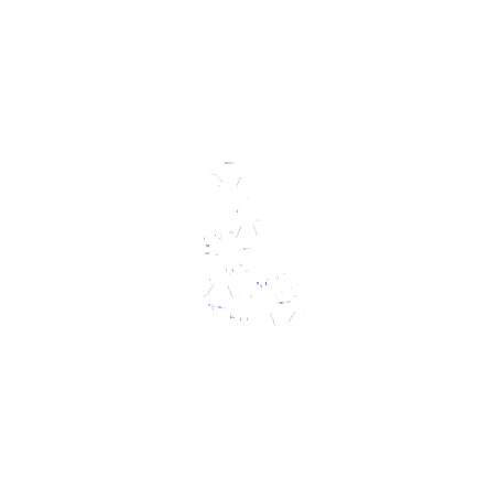 CC[Si](CC)(CC)OC(CNC(Cc1ccccc1)c1c(OC)ccnc1OC)c1ccc(OCc2ccccc2)c(NS(C)(=O)=O)c1